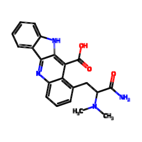 CN(C)C(Cc1cccc2nc3c([nH]c4ccccc43)c(C(=O)O)c12)C(N)=O